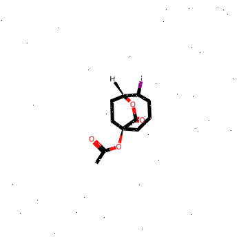 CC(=O)O[C@@]12CCCC(I)[C@@H](CC1)OC2=O